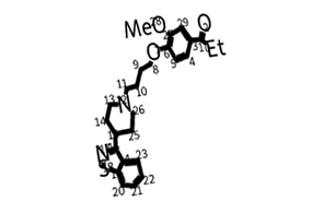 CCC(=O)c1ccc(OCCCCN2CCC(c3nsc4ccccc34)CC2)c(OC)c1